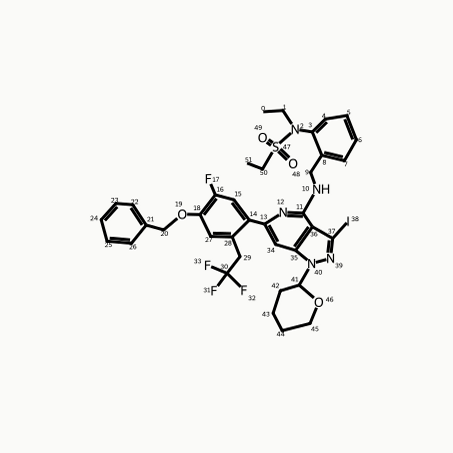 CCN(c1ccccc1CNc1nc(-c2cc(F)c(OCc3ccccc3)cc2CC(F)(F)F)cc2c1c(I)nn2C1CCCCO1)S(=O)(=O)CC